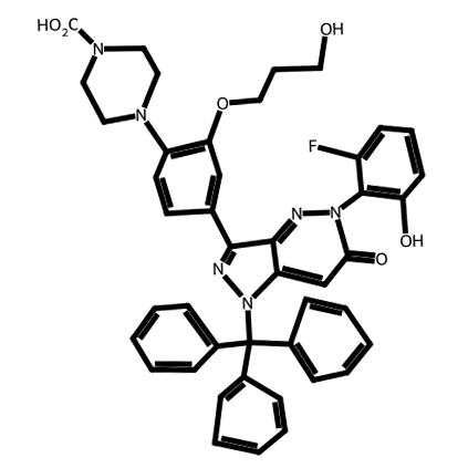 O=C(O)N1CCN(c2ccc(-c3nn(C(c4ccccc4)(c4ccccc4)c4ccccc4)c4cc(=O)n(-c5c(O)cccc5F)nc34)cc2OCCCO)CC1